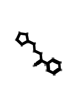 O=C(CCCC1CCCC1)c1ccccc1